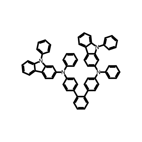 c1ccc(N(c2ccc(-c3ccccc3-c3ccc(N(c4ccccc4)c4ccc5c6ccccc6n(-c6ccccc6)c5c4)cc3)cc2)c2ccc3c4ccccc4n(-c4ccccc4)c3c2)cc1